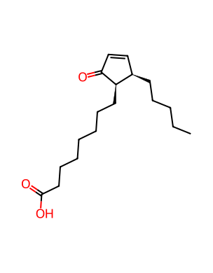 CCCCC[C@@H]1C=CC(=O)[C@@H]1CCCCCCCC(=O)O